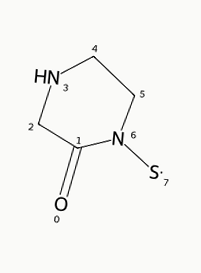 O=C1CNCCN1[S]